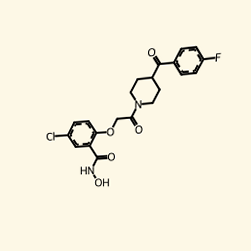 O=C(NO)c1cc(Cl)ccc1OCC(=O)N1CCC(C(=O)c2ccc(F)cc2)CC1